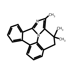 Cc1nc2c3ccccc3c3cccc4c3n2c1C(C)(C)C4